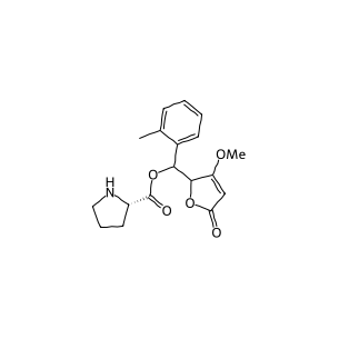 COC1=CC(=O)OC1C(OC(=O)[C@@H]1CCCN1)c1ccccc1C